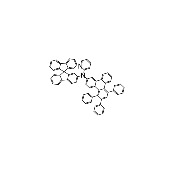 c1ccc(-c2cc(-c3ccccc3)c3c4ccccc4c4cc(N(c5ccc6c(c5)C5(c7ccccc7-c7ccccc75)c5ccccc5-6)c5ccccn5)ccc4c3c2-c2ccccc2)cc1